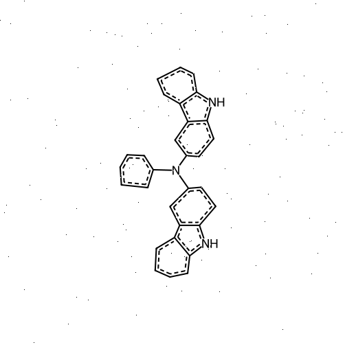 c1ccc(N(c2ccc3[nH]c4ccccc4c3c2)c2ccc3[nH]c4ccccc4c3c2)cc1